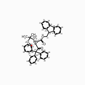 CC(C)(C)OC[C@H](NC(=O)OCC1c2ccccc2-c2ccccc21)C(=O)C(c1ccccc1)(c1ccccc1)c1ccccc1